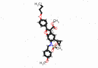 CCCCOc1ccc(-c2oc3cc(N(Cc4ccc(OC)cc4)S(C)(=O)=O)c(C4CC4)cc3c2C(=O)OC)cc1